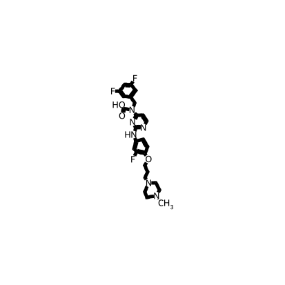 CN1CCN(CCCOc2ccc(Nc3nccc(N(Cc4cc(F)cc(F)c4)C(=O)O)n3)cc2F)CC1